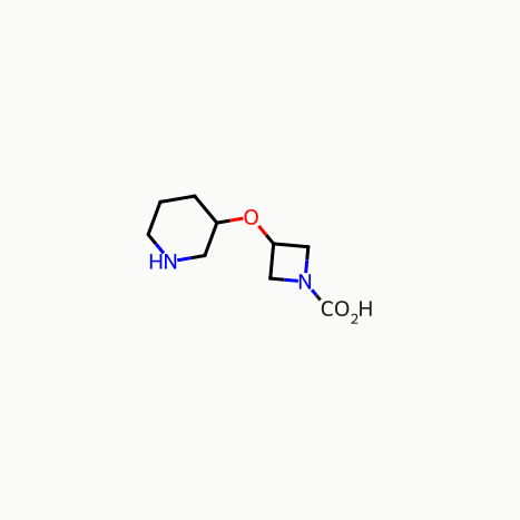 O=C(O)N1CC(OC2CCCNC2)C1